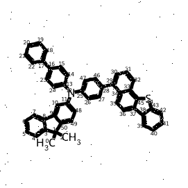 CC1(C)c2ccccc2-c2cc(N(c3ccc(-c4ccccc4)cc3)c3ccc(-c4cccc5c4ccc4c6ccccc6sc54)cc3)ccc21